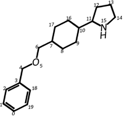 c1ccc(COCC2CCC(C3CCCN3)CC2)cc1